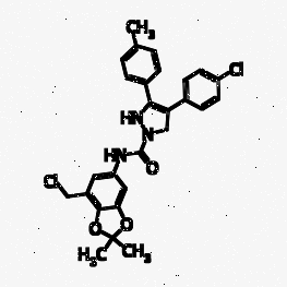 Cc1ccc(C2=C(c3ccc(Cl)cc3)CN(C(=O)Nc3cc(CCl)c4c(c3)OC(C)(C)O4)N2)cc1